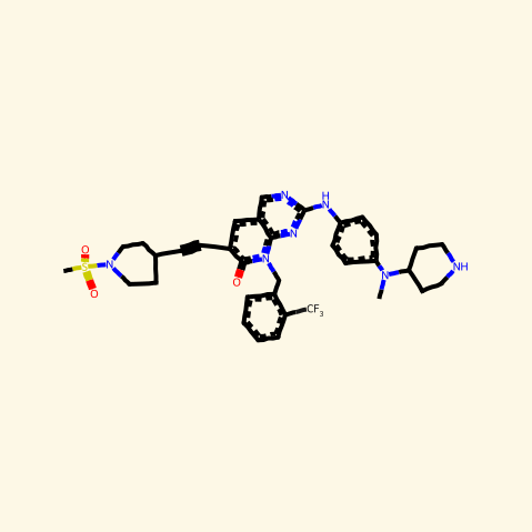 CN(c1ccc(Nc2ncc3cc(C#CC4CCN(S(C)(=O)=O)CC4)c(=O)n(Cc4ccccc4C(F)(F)F)c3n2)cc1)C1CCNCC1